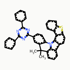 CC1(C)c2cc(-c3nc(-c4ccccc4)nc(-c4ccccc4)n3)ccc2-n2c3c1cccc3c1ccc3sc4ccccc4c3c12